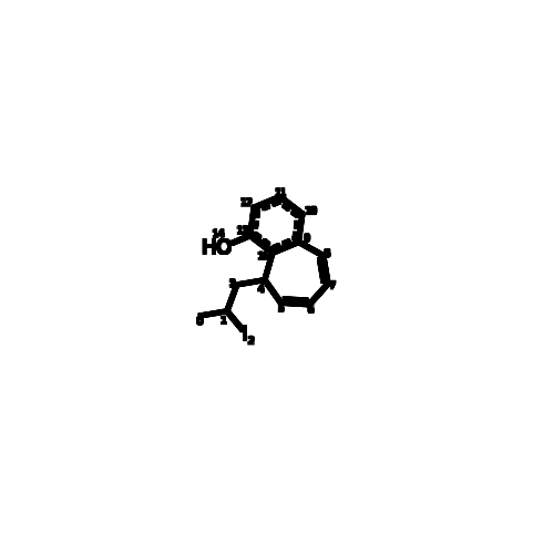 CC(I)CC1C=CC=Cc2cccc(O)c21